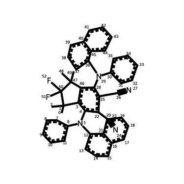 CC1(C)c2c(N(c3ccccc3)c3cccc4ccccc34)c(C#N)c(C#N)c(N(c3ccccc3)c3cccc4ccccc34)c2C(C)(C)C1(F)F